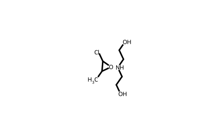 CC1OC1Cl.OCCNCCO